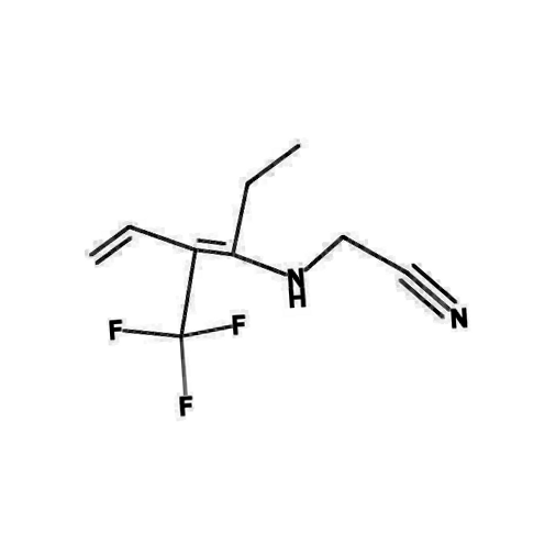 C=C/C(=C(\CC)NCC#N)C(F)(F)F